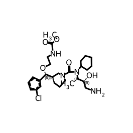 COC(=O)NCCO[C@@H](c1cccc(Cl)c1)[C@@H]1CCCN(C(=O)N(C2CCCCC2)[C@@H](C)[C@H](O)CN)C1